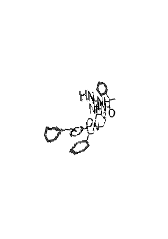 CC(C(=O)NC1CCN(CC(C(=O)OCc2ccccc2)c2ccccc2)CC1)c1ccccc1NC(=N)N